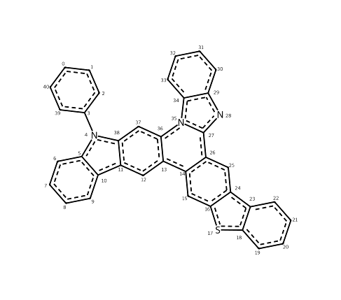 c1ccc(-n2c3ccccc3c3cc4c5cc6sc7ccccc7c6cc5c5nc6ccccc6n5c4cc32)cc1